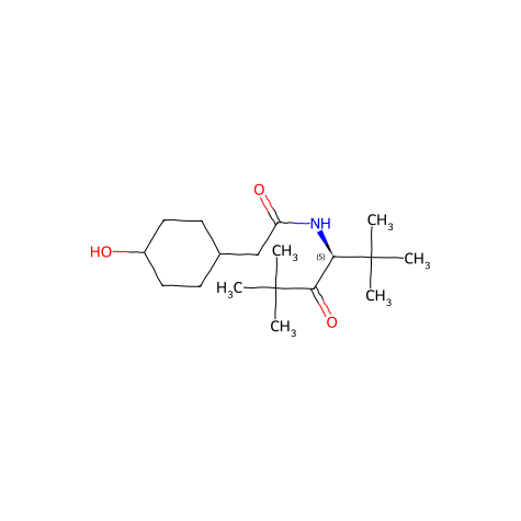 CC(C)(C)C(=O)[C@@H](NC(=O)CC1CCC(O)CC1)C(C)(C)C